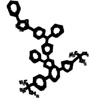 CC(C)(C)c1ccc(-c2ccc(-c3ccc(C(C)(C)C)cc3)c3nc(-c4ccc(N(c5ccccc5)c5ccc(-c6nnc(-c7ccccc7)o6)cc5)cc4)c(-c4ccccc4)nc23)cc1